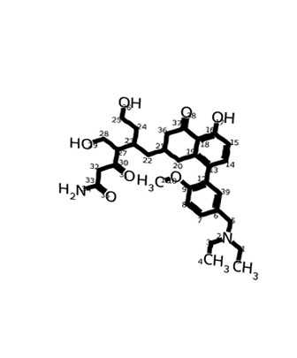 CCN(CC)Cc1ccc(OC)c(-c2ccc(O)c3c2CC(CC(CCO)C(CO)C(=O)CC(N)=O)CC3=O)c1